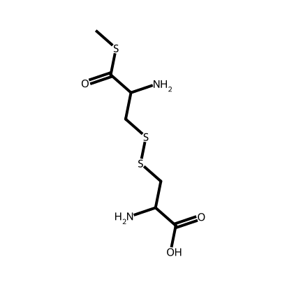 CSC(=O)C(N)CSSCC(N)C(=O)O